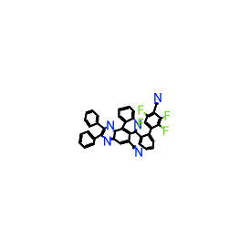 N#Cc1c(F)c(F)c(-c2ccccc2-c2nc3ccccc3c3c2c(C#N)cc2nc(-c4ccccc4)c(-c4ccccc4)nc23)c(F)c1F